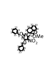 COC(=O)[C@@]1(Cc2nc(OCc3ccccc3)nc(OCc3ccccc3)c2[N+](=O)[O-])CCCc2ccccc21